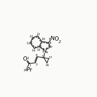 CC(C)C(=O)/C=C/C1(n2cc([N+](=O)[O-])c3ccccc32)CC1